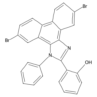 Oc1ccccc1-c1nc2c3cc(Br)ccc3c3ccc(Br)cc3c2n1-c1ccccc1